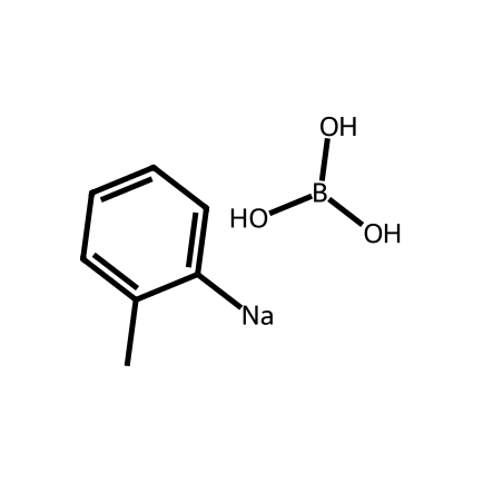 Cc1cccc[c]1[Na].OB(O)O